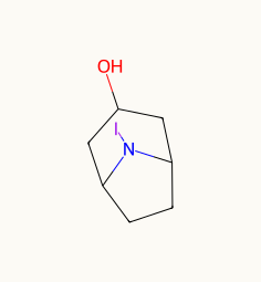 OC1CC2CCC(C1)N2I